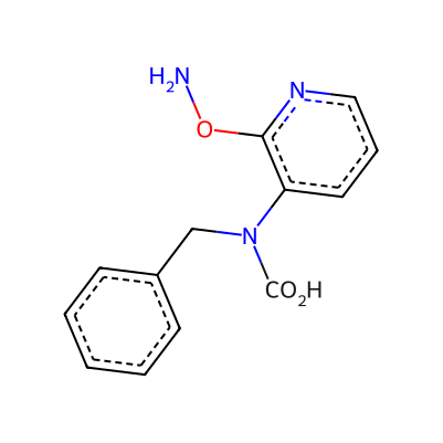 NOc1ncccc1N(Cc1ccccc1)C(=O)O